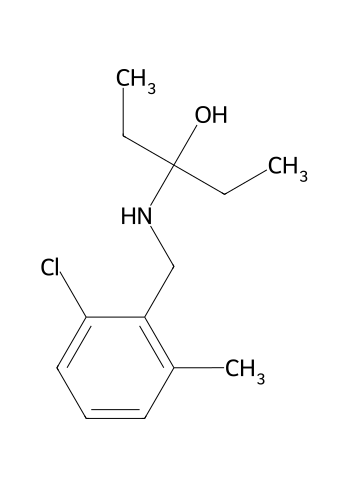 CCC(O)(CC)NCc1c(C)cccc1Cl